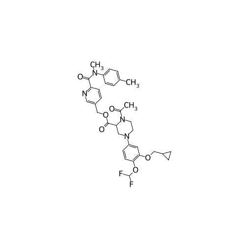 CC(=O)N1CCN(c2ccc(OC(F)F)c(OCC3CC3)c2)CC1C(=O)OCc1ccc(C(=O)N(C)c2ccc(C)cc2)nc1